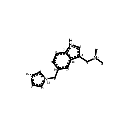 CN(C)Cc1c[nH]c2ccc(Cn3ccnc3)cc12